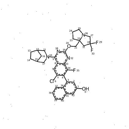 Oc1cc(-c2c(Cl)cc3c(N4CC5CCC(C5)C4)nc(OCC45CCCN4CC(F)(F)C5)nc3c2F)c2ccccc2c1